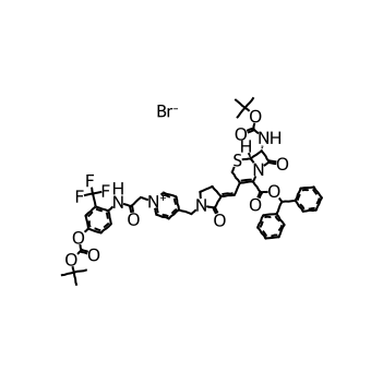 CC(C)(C)OC(=O)N[C@@H]1C(=O)N2C(C(=O)OC(c3ccccc3)c3ccccc3)=C(C=C3CCN(Cc4cc[n+](CC(=O)Nc5ccc(OC(=O)OC(C)(C)C)cc5C(F)(F)F)cc4)C3=O)CS[C@H]12.[Br-]